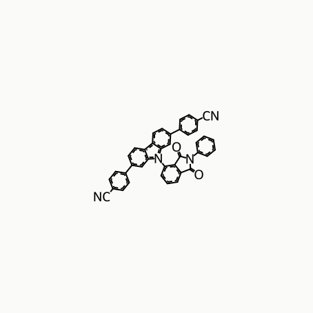 N#Cc1ccc(-c2ccc3c4ccc(-c5ccc(C#N)cc5)cc4n(-c4cccc5c4C(=O)N(c4ccccc4)C5=O)c3c2)cc1